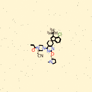 [2H]C([2H])([2H])C1=C[C@@]2(CCc3c(nc(OC[C@@H]4CCCN4C)nc3N3CCN(C(=O)C=C)[C@@H](CC#N)C3)C2)c2cccc(Cl)c21